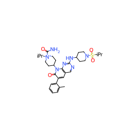 Cc1ccccc1-c1cc2cnc(NC3CCN(S(=O)(=O)C(C)C)CC3)nc2n(C2CC[N+](C(N)=O)(C(C)C)CC2)c1=O